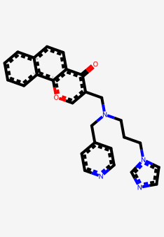 O=c1c(CN(CCCn2ccnc2)Cc2ccncc2)coc2c1ccc1ccccc12